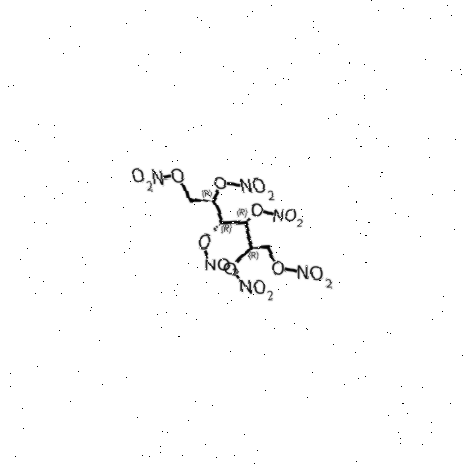 O=[N+]([O-])OC[C@@H](O[N+](=O)[O-])[C@@H](O[N+](=O)[O-])[C@H](O[N+](=O)[O-])[C@@H](CO[N+](=O)[O-])O[N+](=O)[O-]